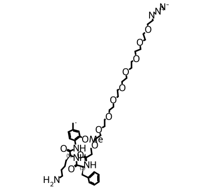 [CH2]c1ccc(NC(=O)[C@H](CCCCN)NC(=O)[C@H](Cc2ccccc2)NC(=O)CCOCCOCCOCCOCCOCCOCCOCCOCCOCCN=[N+]=[N-])c(OC)c1